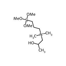 CO[Si](CCC[N+](C)(C)CC(C)O)(OC)OC